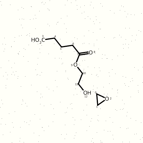 C1CO1.O=C(O)CCCC(=O)OCCO